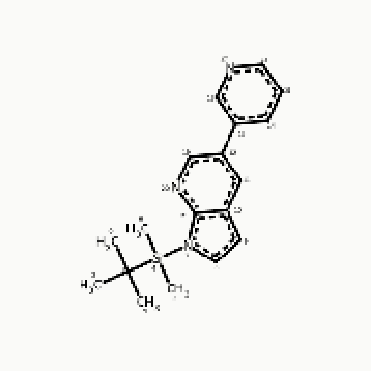 CC(C)(C)[Si](C)(C)n1ccc2cc(-c3cccnc3)cnc21